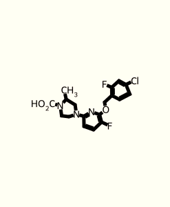 CC1CN(c2ccc(F)c(OCc3ccc(Cl)cc3F)n2)CCN1C(=O)O